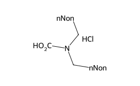 CCCCCCCCCCN(CCCCCCCCCC)C(=O)O.Cl